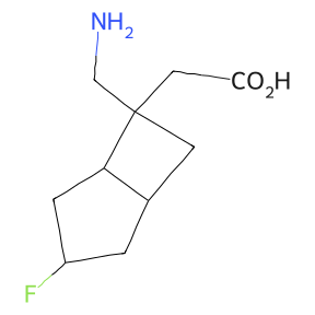 NCC1(CC(=O)O)CC2CC(F)CC21